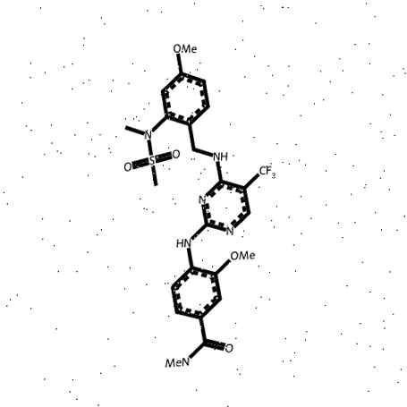 CNC(=O)c1ccc(Nc2ncc(C(F)(F)F)c(NCc3ccc(OC)cc3N(C)S(C)(=O)=O)n2)c(OC)c1